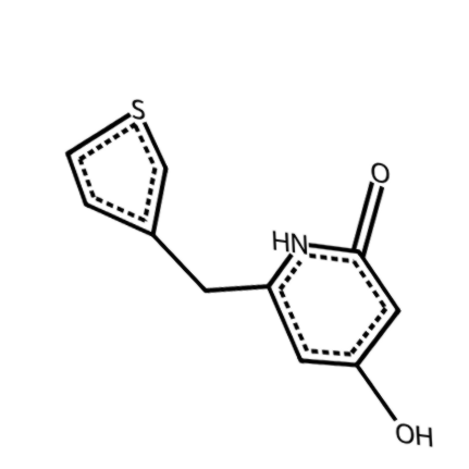 O=c1cc(O)cc(Cc2ccsc2)[nH]1